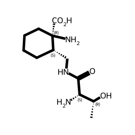 C[C@@H](O)[C@H](N)C(=O)NC[C@@H]1CCCC[C@]1(N)C(=O)O